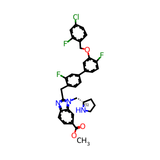 COC(=O)c1ccc2nc(Cc3ccc(-c4ccc(F)c(OCc5ccc(Cl)cc5F)c4)cc3F)n(C[C@@H]3CCCN3)c2c1